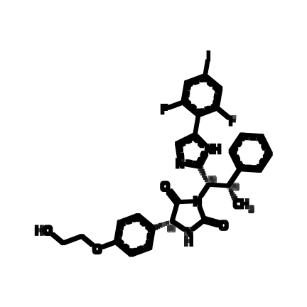 C[C@@H](c1ccccc1)[C@@H](c1ncc(-c2c(F)cc(I)cc2F)[nH]1)N1C(=O)N[C@H](c2ccc(OCCO)cc2)C1=O